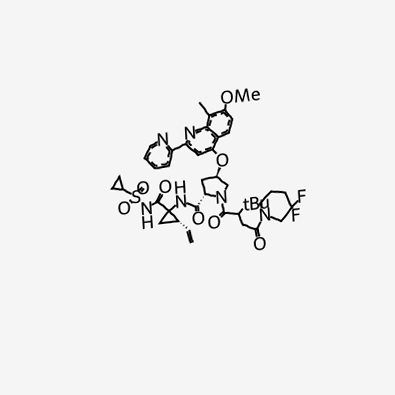 C=C[C@@H]1CC1(NC(=O)[C@@H]1C[C@@H](Oc2cc(-c3ccccn3)nc3c(C)c(OC)ccc23)CN1C(=O)C(CC(=O)N1CCCC(F)(F)C1)C(C)(C)C)C(=O)NS(=O)(=O)C1CC1